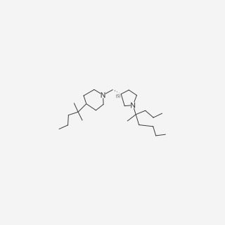 CCCCC(C)(CCC)N1CC[C@@H](CN2CCC(C(C)(C)CCC)CC2)C1